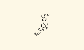 C=CC(=O)Oc1ccc(-c2ccc(OC(C)=O)c(F)c2)c(F)c1F